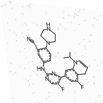 CC(C)N1C=CCc2c(F)cc(-c3nc(Nc4ccc(N5CCNCC5)c(C#N)c4)ncc3F)cc21